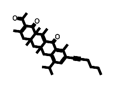 CCCCC#Cc1cc(C(C)C)c2c(c1C)C(=O)C1=C(C)C3(C)C(=O)C(C(C)=O)=C(C)CC3(C)CC1(C)C2